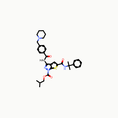 CC(C)COC(=O)n1nc([AsH]C(=O)c2ccc(CN3CCCCC3)cc2)c2cc(C(=O)NC(C)(C)c3ccccc3)sc21